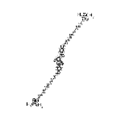 C=C(C)C(=O)OCCCCCCCCCCCCCCCCCCCOc1ccc(C(=O)Oc2cc(F)c(OC(=O)c3ccc(OCCCCCCCCCCCCCCCCCCCOC(=O)C(=C)C)cc3)c(F)c2)cc1